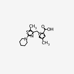 Cc1cc(C(=O)O)n(Cc2nc(N3CCCCC3)sc2C)c1